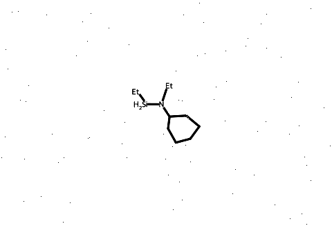 CC[SiH2]N(CC)C1CCCCC1